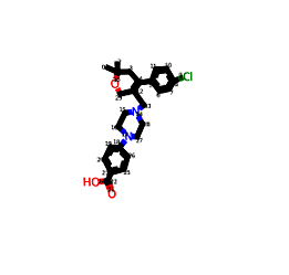 CC1(C)CC(c2ccc(Cl)cc2)=C(CN2CCN(c3ccc(C(=O)O)cc3)CC2)CO1